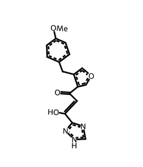 COc1ccc(Cc2cocc2C(=O)C=C(O)c2nc[nH]n2)cc1